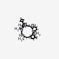 C=C1CCc2ccc(F)cc2C(=C)N2CCCCC2C(=C)/C=C2/N=C(C3CCC3)C=C(N(C)CCN1)N2C